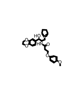 COc1ccc(OCCC(=O)NC(CN2C3CCC2CC3)[C@H](O)c2ccc3c(c2)OCCO3)cc1